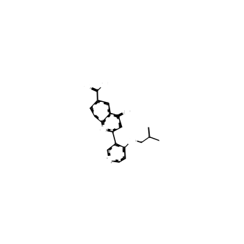 CC(C)COc1ccncc1-c1cc(=O)c2cc(C(=O)O)ccc2o1